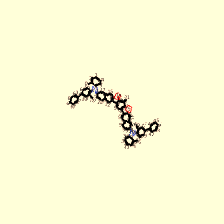 Cc1ccccc1N(c1ccc2cc3c(cc2c1)oc1c(C)c2oc4cc5cc(N(c6ccccc6C)c6ccc(-c7ccccc7)cc6C)ccc5cc4c2cc13)c1ccc(-c2ccccc2)cc1C